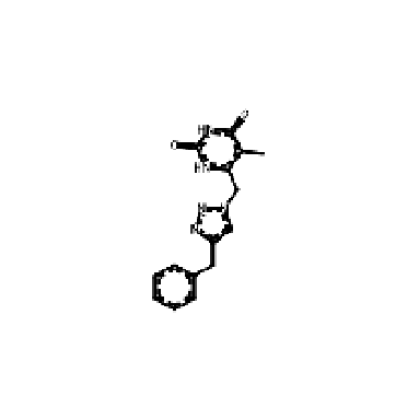 Cc1c(Cn2cc(Cc3ccccc3)nn2)[nH]c(=O)[nH]c1=O